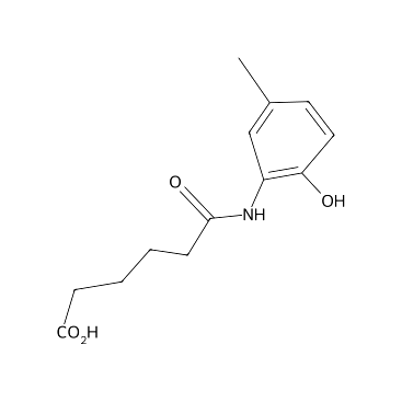 Cc1ccc(O)c(NC(=O)CCCCC(=O)O)c1